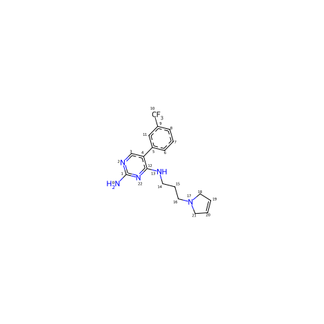 Nc1ncc(-c2cccc(C(F)(F)F)c2)c(NCCCN2CC=CC2)n1